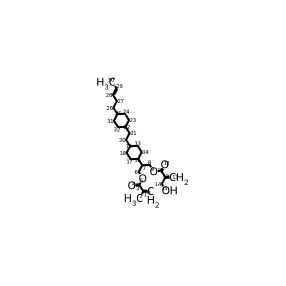 C=C(C)C(=O)OCC(COC(=O)C(=C)CO)C1CCC(CCC2CCC(CC/C=C/C)CC2)CC1